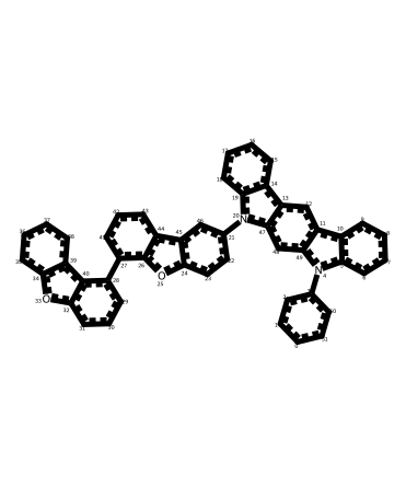 c1ccc(-n2c3ccccc3c3cc4c5ccccc5n(-c5ccc6oc7c(-c8cccc9oc%10ccccc%10c89)cccc7c6c5)c4cc32)cc1